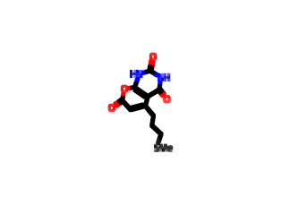 CSCCCc1cc(=O)oc2[nH]c(=O)[nH]c(=O)c12